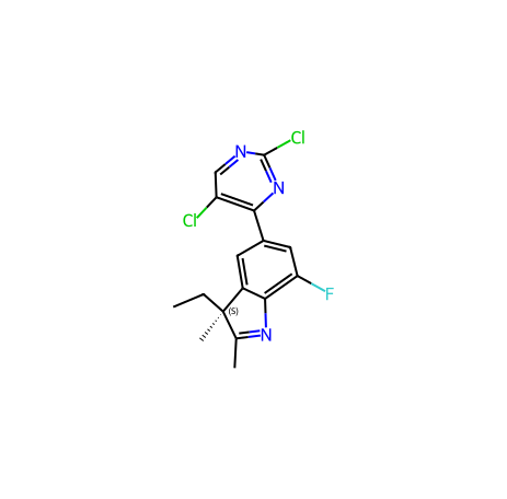 CC[C@]1(C)C(C)=Nc2c(F)cc(-c3nc(Cl)ncc3Cl)cc21